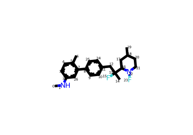 CNc1ccc(C)c(-c2ccc(CC(C)(F)C3CC(C)CCN3F)cc2)c1